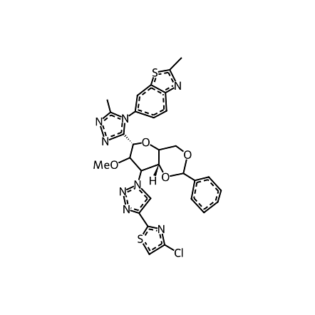 COC1C(n2cc(-c3nc(Cl)cs3)nn2)[C@H]2OC(c3ccccc3)OCC2O[C@H]1c1nnc(C)n1-c1ccc2nc(C)sc2c1